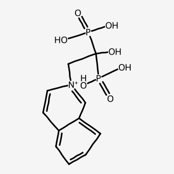 O=P(O)(O)C(O)(C[n+]1ccc2ccccc2c1)P(=O)(O)O